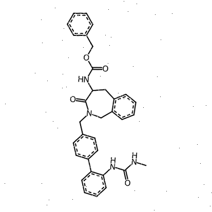 CNC(=O)Nc1ccccc1-c1ccc(CN2Cc3ccccc3CC(NC(=O)OCc3ccccc3)C2=O)cc1